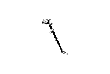 CCCCCCCCCCCCCCCC(=O)OCCCNC(CS)C(=O)O